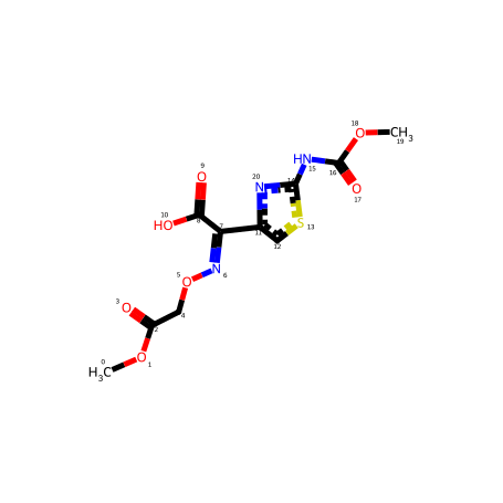 COC(=O)CON=C(C(=O)O)c1csc(NC(=O)OC)n1